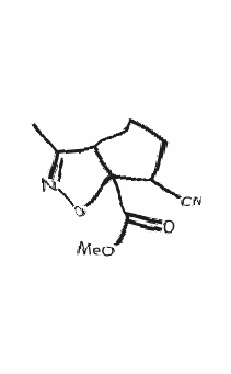 COC(=O)C12ON=C(C)C1CCC2C#N